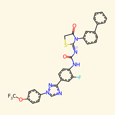 O=C(/N=C1\SCC(=O)N1c1cccc(-c2ccccc2)c1)Nc1ccc(-c2ncn(-c3ccc(OC(F)(F)F)cc3)n2)cc1F